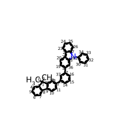 CC1(C)c2ccccc2-c2ccc(-c3cccc(-c4ccc5c6ccccc6n(-c6ccccc6)c5c4)c3)cc21